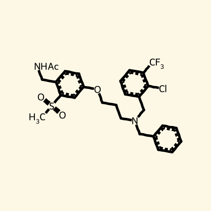 CC(=O)NCc1ccc(OCCCN(Cc2ccccc2)Cc2cccc(C(F)(F)F)c2Cl)cc1S(C)(=O)=O